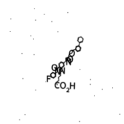 O=C(O)CCCCc1nc2cc(-c3cc(COCc4cccc(C5=CCCC=C5)c4)on3)ccc2c(=O)n1-c1ccc(F)cc1